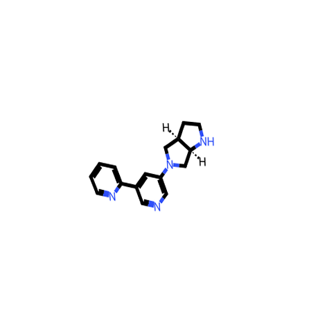 c1ccc(-c2cncc(N3C[C@H]4CCN[C@H]4C3)c2)nc1